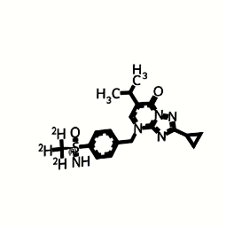 [2H]C([2H])([2H])[S@@](=N)(=O)c1ccc(Cn2cc(C(C)C)c(=O)n3nc(C4CC4)nc23)cc1